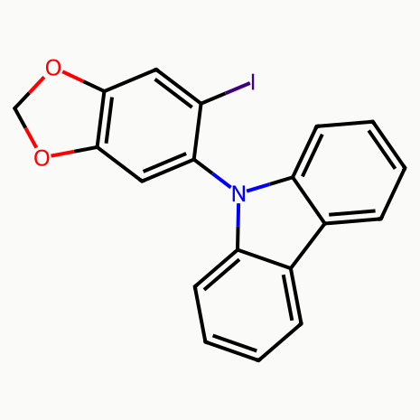 Ic1cc2c(cc1-n1c3ccccc3c3ccccc31)OCO2